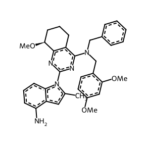 COc1ccc(CN(Cc2ccccc2)c2nc(-n3c(C)cc4c(N)cccc43)nc3c2CCC[C@@H]3OC)c(OC)c1